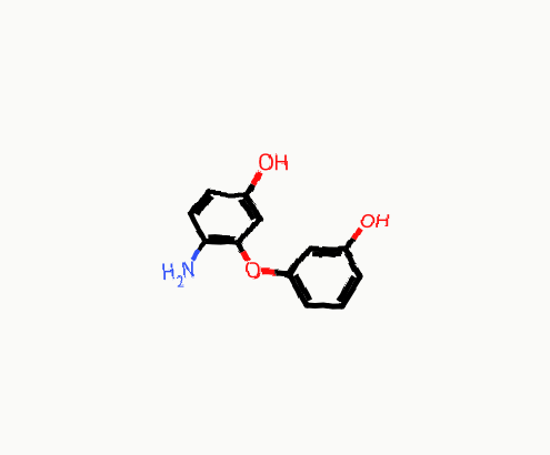 Nc1ccc(O)cc1Oc1cccc(O)c1